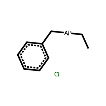 C[CH2][Al+][CH2]c1ccccc1.[Cl-]